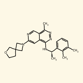 Cc1cccc([C@@H](C)Nc2nnc(C)c3cnc(N4CC5(CCOC5)C4)cc23)c1C